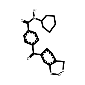 CC(C)N(C(=O)c1ccc(C(=O)c2ccc3c(c2)OOOC3)cc1)C1CCCCC1